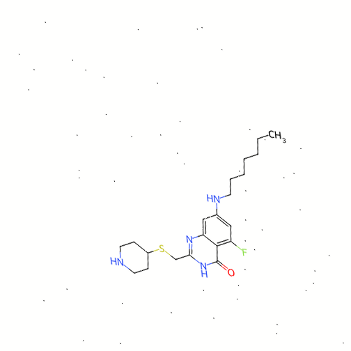 CCCCCCCNc1cc(F)c2c(=O)[nH]c(CSC3CCNCC3)nc2c1